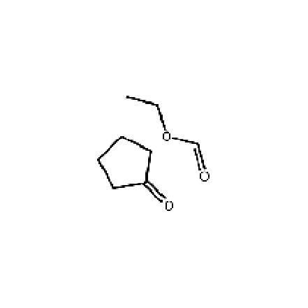 CCOC=O.O=C1CCCC1